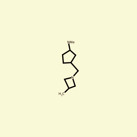 CNC1CCC(CN2CC(C)C2)C1